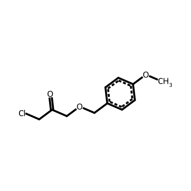 COc1ccc(COCC(=O)CCl)cc1